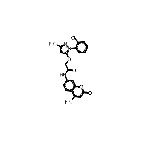 O=C(COc1cc(C(F)(F)F)nn1-c1ccccc1Cl)Nc1ccc2c(C(F)(F)F)cc(=O)oc2c1